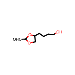 O=CC1OCC(CCCCO)O1